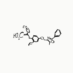 CCOC(Cc1ccc(OCc2nc(-c3ccccc3)oc2C)cc1F)C(=O)O